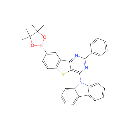 CC1(C)OB(c2ccc3sc4c(-n5c6ccccc6c6ccccc65)nc(-c5ccccc5)nc4c3c2)OC1(C)C